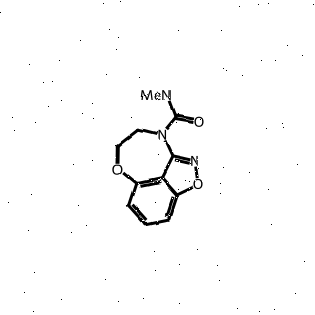 CNC(=O)N1CCOc2cccc3onc1c23